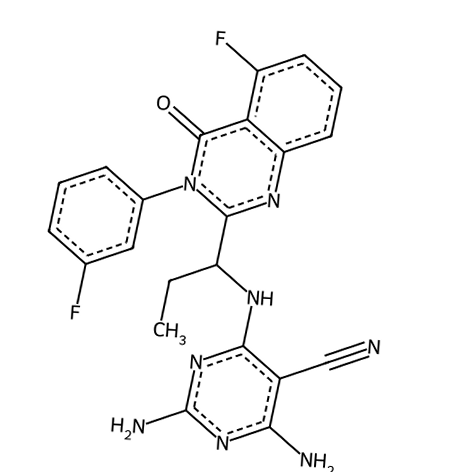 CCC(Nc1nc(N)nc(N)c1C#N)c1nc2cccc(F)c2c(=O)n1-c1cccc(F)c1